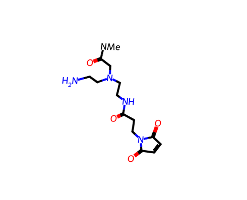 CNC(=O)CN(CCN)CCNC(=O)CCN1C(=O)C=CC1=O